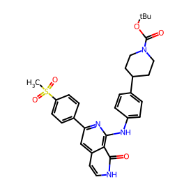 CC(C)(C)OC(=O)N1CCC(c2ccc(Nc3nc(-c4ccc(S(C)(=O)=O)cc4)cc4cc[nH]c(=O)c34)cc2)CC1